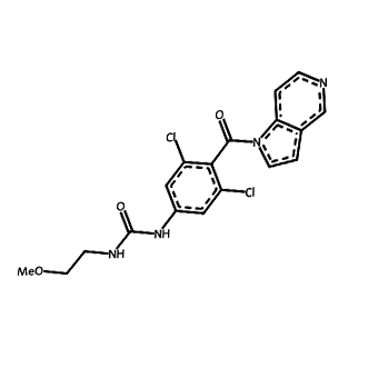 COCCNC(=O)Nc1cc(Cl)c(C(=O)n2ccc3cnccc32)c(Cl)c1